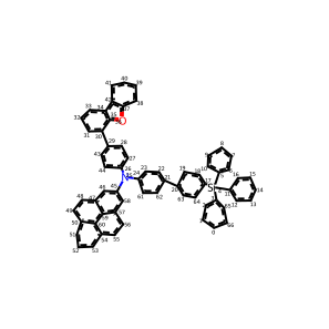 c1ccc([Si](c2ccccc2)(c2ccccc2)c2ccc(-c3ccc(N(c4ccc(-c5cccc6c5oc5ccccc56)cc4)c4cc5ccc6cccc7ccc(c4)c5c67)cc3)cc2)cc1